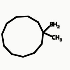 BC1(C)CCCCCCCCCC1